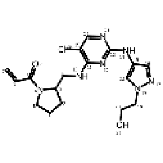 C=CC(=O)N1CCCC1CNc1nc(Nc2cnn(CCO)c2)ncc1Cl